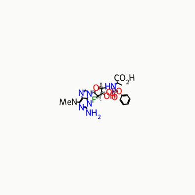 CNc1nc(N)nc2c1ncn2[C@@H]1O[C@](C)(CO[P@@](=O)(NC(C)C(=O)O)Oc2ccccc2)[C@@H](O)[C@@]1(C)F